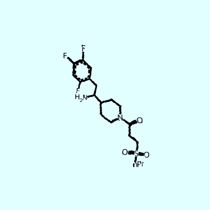 CCCS(=O)(=O)CCC(=O)N1CCC(C(N)Cc2cc(F)c(F)cc2F)CC1